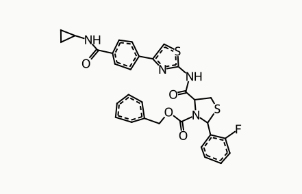 O=C(NC1CC1)c1ccc(-c2csc(NC(=O)C3CSC(c4ccccc4F)N3C(=O)OCc3ccccc3)n2)cc1